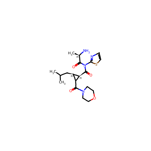 CC(C)C[C@@H]1C(C(=O)N2CCOCC2)[C@@H]1C(=O)N(C(=O)[C@@H](C)N)c1nccs1